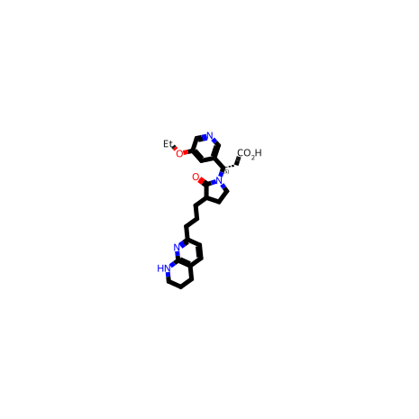 CCOc1cncc([C@H](CC(=O)O)N2CCC(CCCc3ccc4c(n3)NCCC4)C2=O)c1